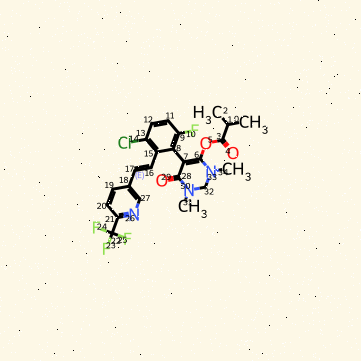 CC(C)C(=O)OC1=C(c2c(F)ccc(Cl)c2/C=C/c2ccc(C(F)(F)F)nc2)C(=O)N(C)CN1C